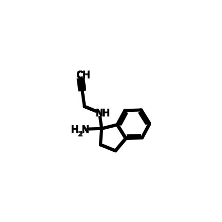 C#CCNC1(N)CCc2ccccc21